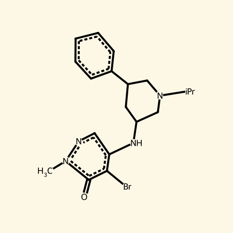 CC(C)N1CC(Nc2cnn(C)c(=O)c2Br)CC(c2ccccc2)C1